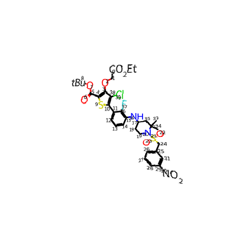 CCOC(=O)COc1c(C(=O)OC(C)(C)C)sc(-c2cccc(NC3CCN(S(=O)(=O)Cc4cccc([N+](=O)[O-])c4)C(C)(C)C3)c2F)c1Cl